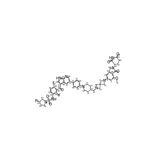 COc1cc(N2CC3(CN(CC4CCN(c5ccc(-c6cnc7[nH]cc(C(=O)c8c(F)ccc(NS(=O)(=O)N9CC[C@@H](F)C9)c8F)c7c6)cc5)CC4)C3)C2)cc2c1C(=O)N([C@H]1CCC(=O)NC1=O)C2